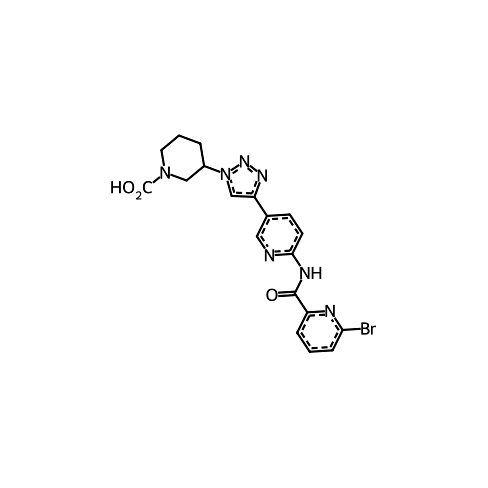 O=C(Nc1ccc(-c2cn(C3CCCN(C(=O)O)C3)nn2)cn1)c1cccc(Br)n1